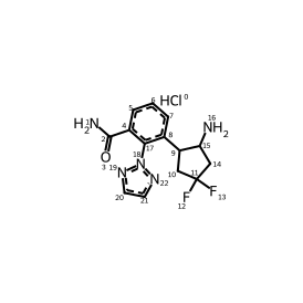 Cl.NC(=O)c1cccc(C2CC(F)(F)CC2N)c1-n1nccn1